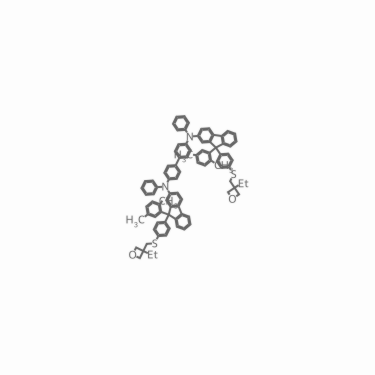 CCC1(CSc2ccc(C3(c4cc(C)ccc4C)c4ccccc4-c4ccc(N(c5ccccc5)c5ccc(-c6ccc(N(c7ccccc7)c7ccc8c(c7)C(c7ccc(SCC9(CC)COC9)cc7)(c7cc(C)ccc7C)c7ccccc7-8)cc6)cc5)cc43)cc2)COC1